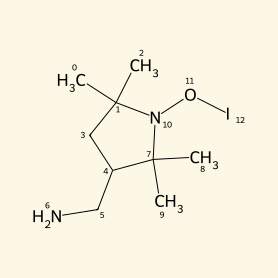 CC1(C)CC(CN)C(C)(C)N1OI